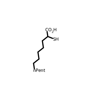 CCCCCCCCCCC(S)C(=O)O